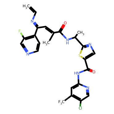 C=C/N=C(\C=C(/C)C(=O)NC(C)c1ncc(C(=O)Nc2cc(C(F)(F)F)c(Cl)cn2)s1)c1ccncc1F